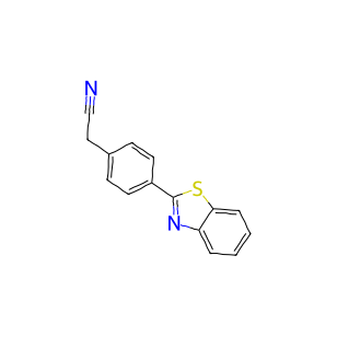 N#CCc1ccc(-c2nc3ccccc3s2)cc1